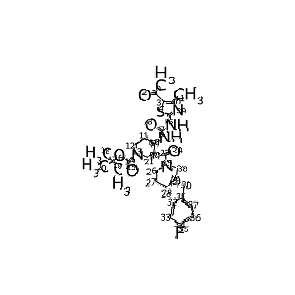 CC(=O)c1sc(NC(=O)N[C@@H]2CCN(C(=O)OC(C)(C)C)C[C@H]2C(=O)N2CCC[C@@H](Cc3ccc(F)cc3)C2)nc1C